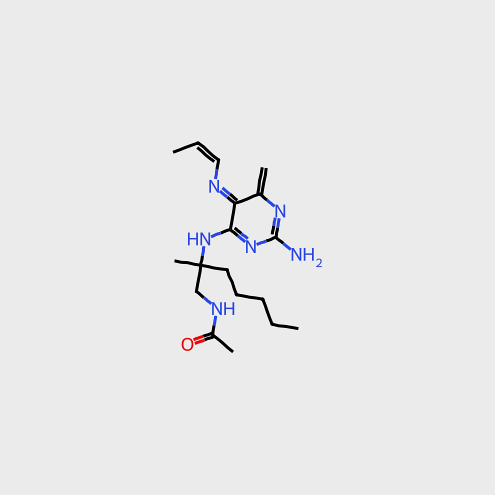 C=C1N=C(N)N=C(NC(C)(CCCCC)CNC(C)=O)/C1=N/C=C\C